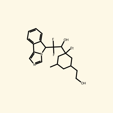 CCC1(C(O)C(F)(F)C2c3ccccc3-c3cncn32)CC(C)CC(CCO)C1